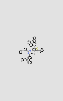 CCC1C(c2ccc3c(c2)c(Cc2ccccc2)cc2ccccc23)=NC(c2cccc(-c3ccccc3)c2)=NC1c1cc(C2CCc3cc4ccccc4cc3-c3c2ccc2ccccc32)c2sc3c4ccccc4ccc3c2c1